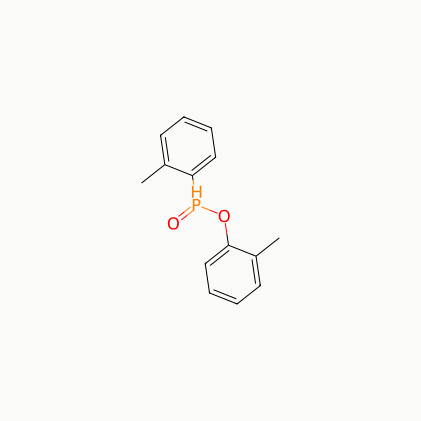 Cc1ccccc1O[PH](=O)c1ccccc1C